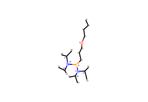 CCCCOCCCP(N(C(C)C)C(C)C)N(C(C)C)C(C)C